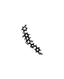 Cc1c(OC2CCN(C)CC2)ccc2cc(NC(=O)c3cn(Cc4ccc(C(C)(C)C)cc4)nn3)c(=O)oc12